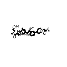 Cc1cc(-c2[nH]c3ccc(C4CCN(CC(=O)N(C)C)CC4)cc3c2C(C)C)cn2cc(C(=O)N(C)CCO)nc12